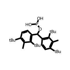 Cc1c(C(C)(C)C)ccc(C(OP(O)O)c2ccc(C(C)(C)C)c(C)c2C(C)(C)C)c1C(C)(C)C